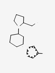 OCC1CCCN1C1CCC[C@@H](n2cc(Br)cn2)C1